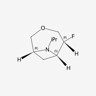 CC(C)N1[C@H]2COC[C@H](F)[C@@H]1C2